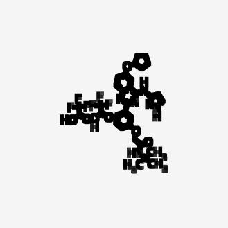 CC(C)(C)NC(=O)COc1cccc(-c2nc(Nc3cc[nH]n3)c3cc(OC4CCCC4)ccc3n2)c1.O=C(O)C(F)(F)F.O=C(O)C(F)(F)F